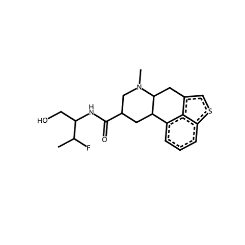 CC(F)C(CO)NC(=O)C1CC2c3cccc4scc(c34)CC2N(C)C1